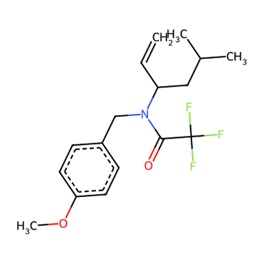 C=CC(CC(C)C)N(Cc1ccc(OC)cc1)C(=O)C(F)(F)F